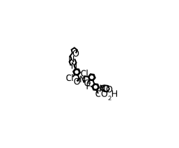 O=C(O)c1cc(F)c(-c2cccc3c2OCN(C(=O)c2c(Cl)cc(N4CCN(CC5CCCO5)CC4)cc2Cl)C3)cc1N1C2CCC1COC2